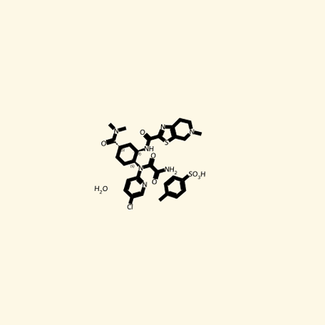 CN1CCc2nc(C(=O)N[C@@H]3C[C@@H](C(=O)N(C)C)CC[C@@H]3N(C(=O)C(N)=O)c3ccc(Cl)cn3)sc2C1.Cc1ccc(S(=O)(=O)O)cc1.O